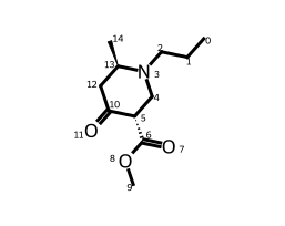 CCCN1C[C@H](C(=O)OC)C(=O)C[C@H]1C